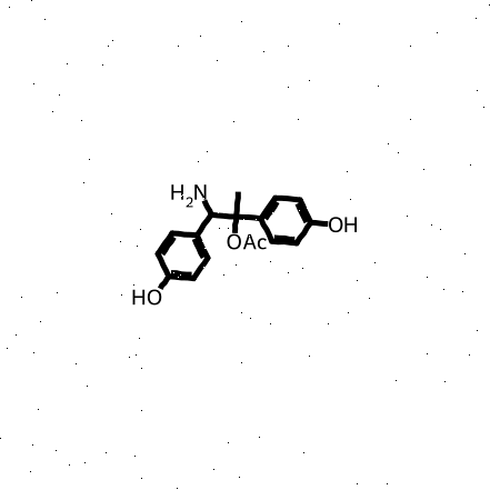 CC(=O)OC(C)(c1ccc(O)cc1)C(N)c1ccc(O)cc1